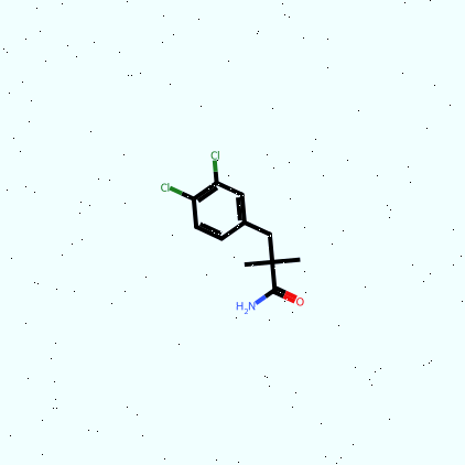 CC(C)(Cc1ccc(Cl)c(Cl)c1)C(N)=O